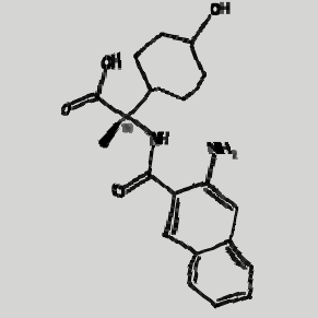 C[C@@](NC(=O)c1cc2ccccc2cc1N)(C(=O)O)C1CCC(O)CC1